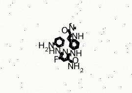 CN(C)C(=O)c1cc2cc(Nc3nc(NC4CCCCC4N)c(F)cc3C(N)=O)ccc2[nH]1